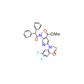 COC(=O)c1cc(N2CCCOc3cc(F)c(F)cc32)ncc1N(C)C(=O)C(c1ccccc1)c1ccccc1